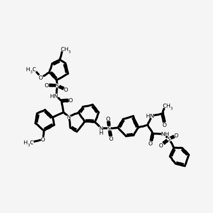 COc1cccc(C(C(=O)NS(=O)(=O)c2ccc(C)cc2OC)n2ccc3c(NS(=O)(=O)c4ccc(C(NC(C)=O)C(=O)NS(=O)(=O)c5ccccc5)cc4)cccc32)c1